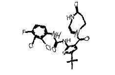 CC(C)(C)c1cc(C(=O)N2CCNC(=O)CC2)c(NC(=O)Nc2ccc(F)c(Cl)c2Cl)s1